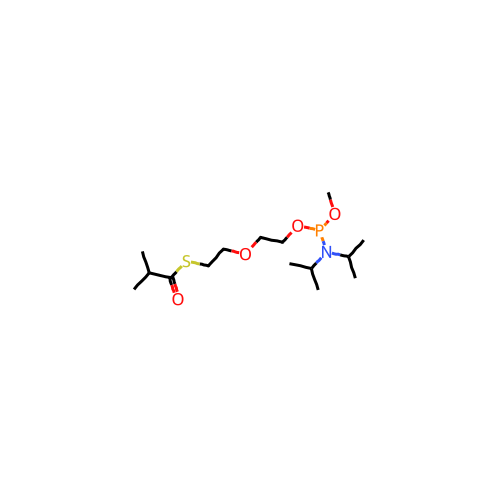 COP(OCCOCCSC(=O)C(C)C)N(C(C)C)C(C)C